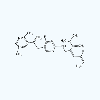 C=C(Cc1ccc(NC/C(=C/C(F)=C\C)C(=C)C(C)C)nc1F)c1cc(C)cnc1C